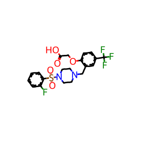 O=C(O)COc1ccc(C(F)(F)F)cc1CN1CCN(S(=O)(=O)c2ccccc2F)CC1